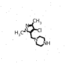 Cc1nn(C)c(CN2CCNCC2)c1Cl